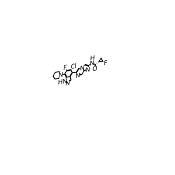 O=C(Nc1cn2cc(-c3c(Cl)c(F)c(N4CCCCC4)c4[nH]ncc34)ncc2n1)[C@@H]1C[C@@H]1F